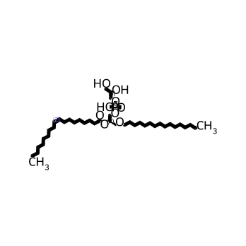 CCCCCCCCC/C=C\CCCCCCCC(=O)O[C@H](COCCCCCCCCCCCCCCCC)COP(=O)(O)OC[C@@H](O)CO